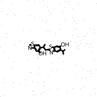 CC(C)c1cc2nc(CC(C)c3cc4scnc4cc3O)sc2cc1O